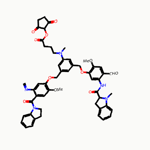 C=Nc1cc(OCc2cc(COc3cc(NC(=O)C4Cc5ccccc5N4C)c(C=O)cc3OC)cc(N(C)CCCC(=O)OC3C(=O)CCC3=O)c2)c(OC)cc1C(=O)N1CCc2ccccc21